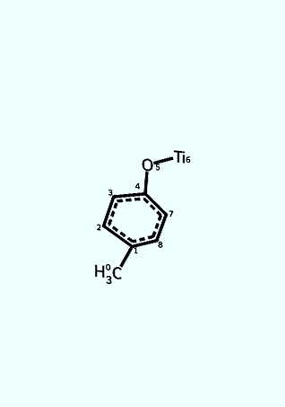 Cc1ccc([O][Ti])cc1